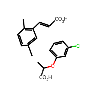 CC(Oc1cccc(Cl)c1)C(=O)O.Cc1ccc(C)c(C=CC(=O)O)c1